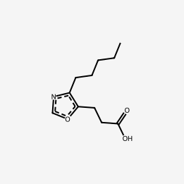 CCCCCc1ncoc1CCC(=O)O